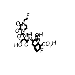 C[C@@H](O)[C@@H](NC(=O)N1CCN(CCF)C(=O)C1=O)C(=O)NC1Cc2ccc(F)c(C(=O)O)c2OB1O